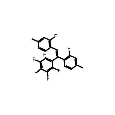 Cc1ccc(/C=C(/c2ccc(C)cc2F)c2c(F)c(F)c(C)c(F)c2F)c(F)c1